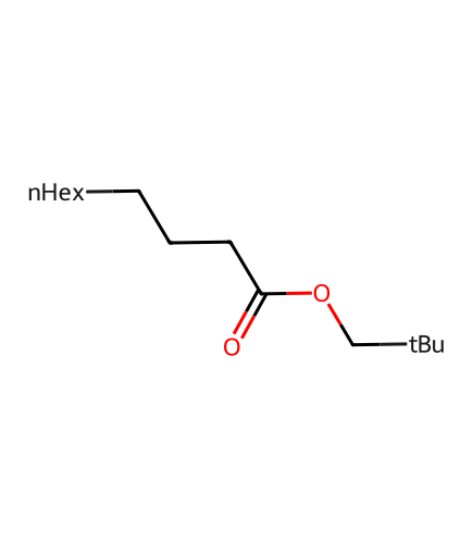 [CH2]C(C)(C)COC(=O)CCCCCCCCC